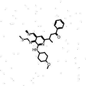 C=N/C=C1/C=C(C(C)CC(=O)c2ccccc2)N=C(NC2CCC(OC)CC2)/C1=N/CSC